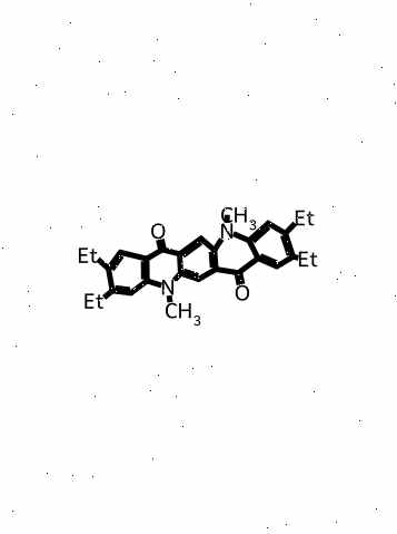 CCc1cc2c(=O)c3cc4c(cc3n(C)c2cc1CC)c(=O)c1cc(CC)c(CC)cc1n4C